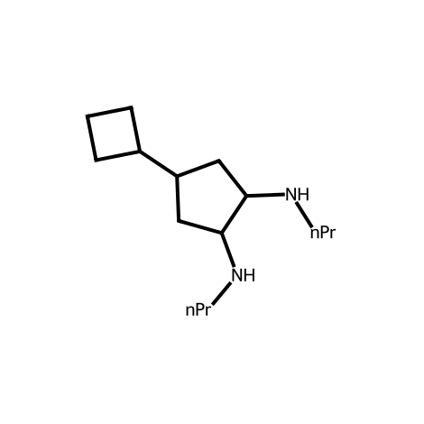 CCCNC1CC(C2CCC2)CC1NCCC